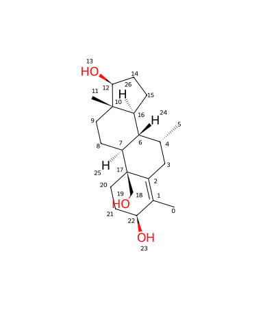 CC1=C2C[C@@H](C)[C@@H]3[C@H](CC[C@]4(C)[C@@H](O)CC[C@@H]34)[C@@]2(CO)CC[C@@H]1O